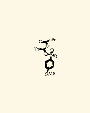 CCCC(=O)OC(CCC)OS(=O)(=O)c1ccc(OC)cc1